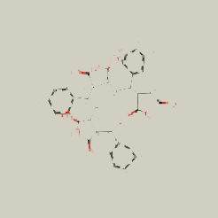 CC(c1ccccc1)C1C(=O)OC(=O)C1CC(c1ccccc1)C1C(=O)OC(=O)C1CC(c1ccccc1)C1CC(=O)OC1=O